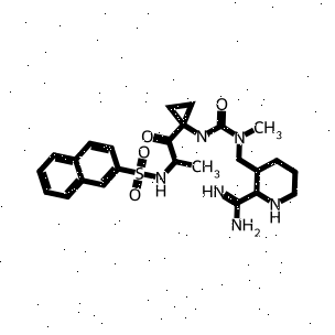 CC(NS(=O)(=O)c1ccc2ccccc2c1)C(=O)C1([N]C(=O)N(C)CC2CCCNC2C(=N)N)CC1